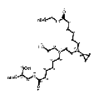 CCCCCCCCCCCOC(=O)CCCCCN(CCN(CCO)CCCCCC(=O)OCC(CCCCCC)CCCCCCCC)C1CC1